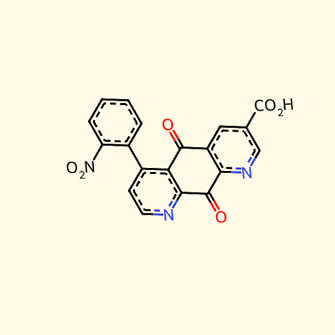 O=C(O)c1cnc2c(c1)C(=O)c1c(-c3ccccc3[N+](=O)[O-])ccnc1C2=O